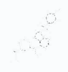 CCCN(c1ncnc2c1ccn2S(=O)(=O)c1ccc(C)cc1)C1CCCN(C(=O)OC(C)(C)C)C1